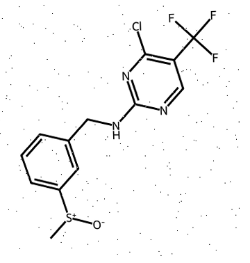 C[S+]([O-])c1cccc(CNc2ncc(C(F)(F)F)c(Cl)n2)c1